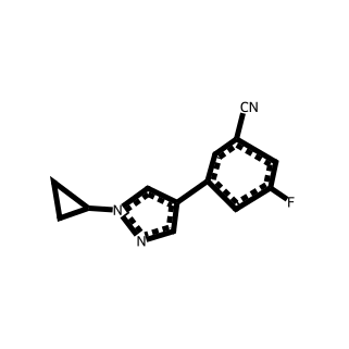 N#Cc1cc(F)cc(-c2cnn(C3CC3)c2)c1